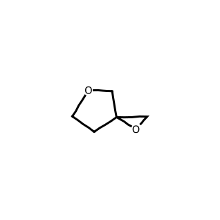 C1CC2(CO1)CO2